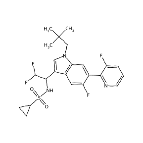 CC(C)(C)Cn1cc(C(NS(=O)(=O)C2CC2)C(F)F)c2cc(F)c(-c3ncccc3F)cc21